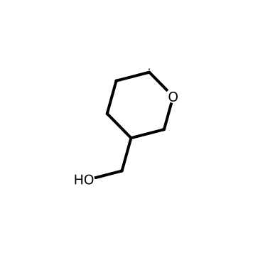 OCC1CC[CH]OC1